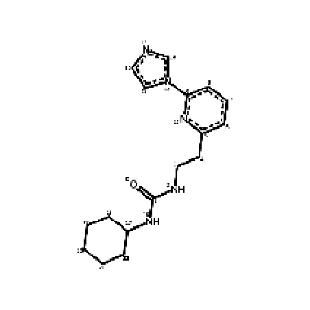 O=C(NCCc1cccc(-n2ccnc2)n1)NC1CCCCC1